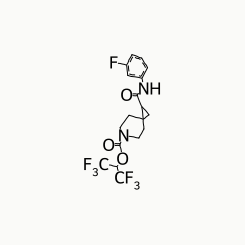 O=C(Nc1cccc(F)c1)C1CC12CCN(C(=O)OC(C(F)(F)F)C(F)(F)F)CC2